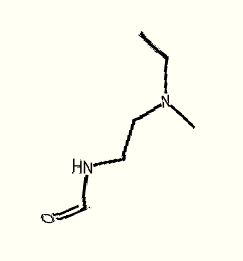 CCN(C)CCN[C]=O